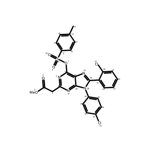 COC(=O)Cc1nc(OS(=O)(=O)c2ccc(C)cc2)c2nc(-c3ccccc3Cl)n(-c3ccc(Cl)cc3)c2n1